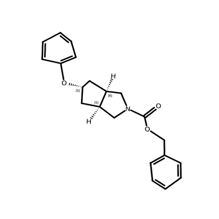 O=C(OCc1ccccc1)N1C[C@H]2C[C@H](Oc3ccccc3)C[C@H]2C1